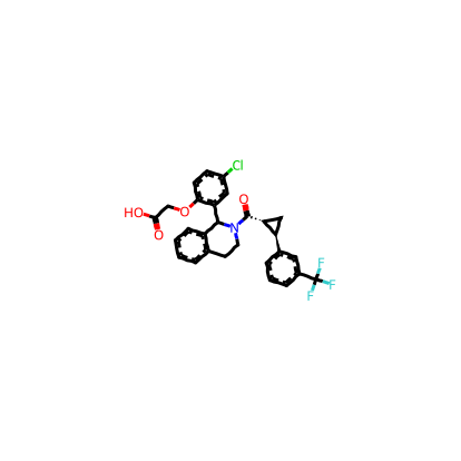 O=C(O)COc1ccc(Cl)cc1C1c2ccccc2CCN1C(=O)[C@@H]1C[C@H]1c1cccc(C(F)(F)F)c1